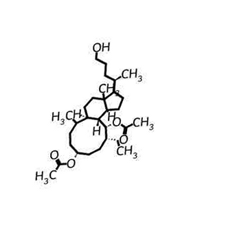 CC[C@@H]1CC[C@H](OC(C)=O)CCC(C)[C@H]2CCC3(C)C([C@H](C)CCCO)CC[C@H]3[C@@H]2[C@@H]1OC(C)=O